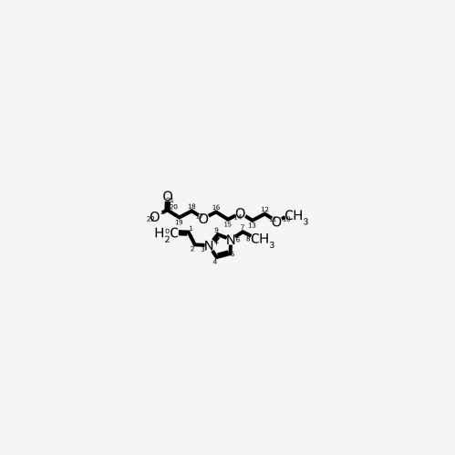 C=CC[n+]1ccn(CC)c1.COCCOCCOCCC(=O)[O-]